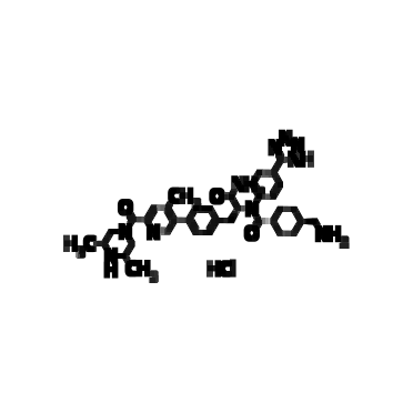 Cc1cc(C(=O)N2CC(C)NC(C)C2)ncc1-c1ccc(C[C@@H](C(N)=O)N(c2ccc(-c3nnn[nH]3)cc2)C(=O)[C@H]2CC[C@H](CN)CC2)cc1.Cl